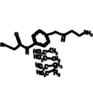 CC(=O)O.CC(=O)O.CC(=O)O.CC(=O)O.NCCNCc1ccc(NC(=O)CBr)cc1